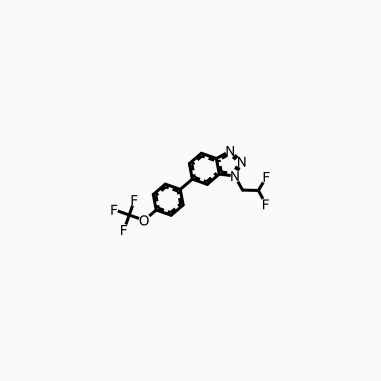 FC(F)Cn1nnc2ccc(-c3ccc(OC(F)(F)F)cc3)cc21